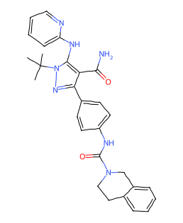 CC(C)(C)n1nc(-c2ccc(NC(=O)N3CCc4ccccc4C3)cc2)c(C(N)=O)c1Nc1ccccn1